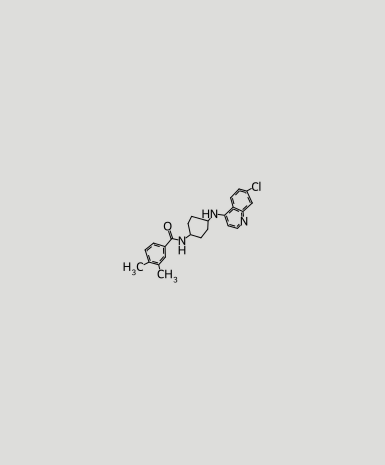 Cc1ccc(C(=O)NC2CCC(Nc3ccnc4cc(Cl)ccc34)CC2)cc1C